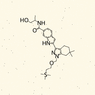 CC(CO)NC(=O)c1ccc2cc(-c3nn(COCCS(C)(C)C)c4c3CCC(C)(C)C4)[nH]c2c1